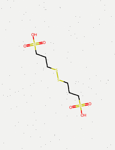 O=S(=O)(O)CCCSSCCCS(=O)(=O)O